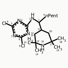 CCCCCC(Nc1nc(Cl)nc(Cl)n1)C1CC(C)(C)NC(C)(C)C1